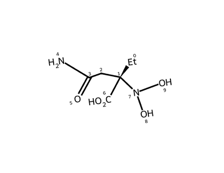 CC[C@](CC(N)=O)(C(=O)O)N(O)O